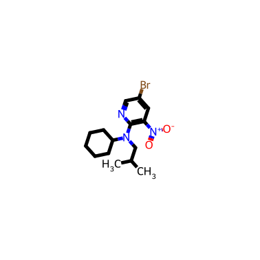 CC(C)CN(c1ncc(Br)cc1[N+](=O)[O-])C1CCCCC1